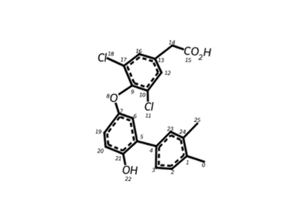 Cc1ccc(-c2cc(Oc3c(Cl)cc(CC(=O)O)cc3Cl)ccc2O)cc1C